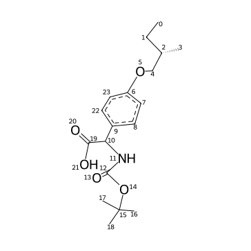 CC[C@H](C)COc1ccc(C(NC(=O)OC(C)(C)C)C(=O)O)cc1